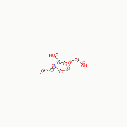 CCOC(C)(C)CCC1CC2CC1C1ON=C(CCC(C)(C)OCCC(C)(C)OC(COC(C)(C)CCOC(C)(C)CCC(=O)O)COC(C)(C)CCOC(C)(C)CCC(=O)O)C21